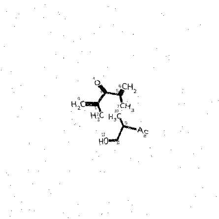 C=C(C)C(=O)C(=C)C.CC(=O)C(C)CO